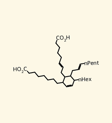 CCCCCC=CCC1C(CCCCCC)C=CC(CCCCCCCC(=O)O)C1CC=CCCCCC(=O)O